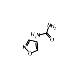 NC(N)=O.c1cnoc1